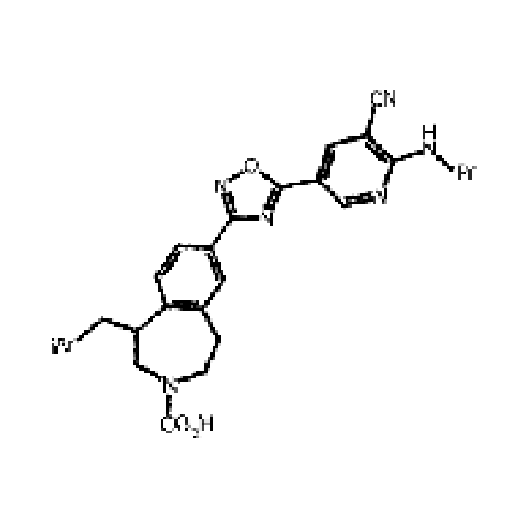 CC(C)CC1CN(C(=O)O)CCc2cc(-c3noc(-c4cnc(NC(C)C)c(C#N)c4)n3)ccc21